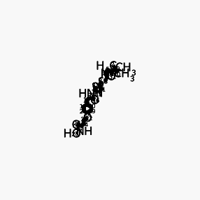 CC(C)(C)c1cnc(CSc2cnc(NC(=O)Cc3ccc(OCCC(=O)NO)cc3)s2)o1